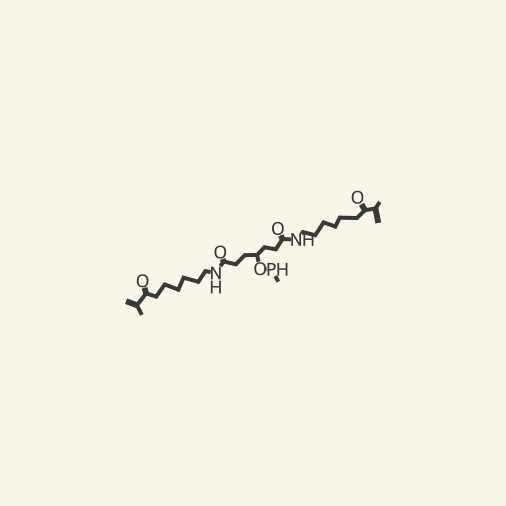 C=C(C)C(=O)CCCCCCNC(=O)CCC(CCC(=O)NCCCCCCC(=O)C(=C)C)OPC